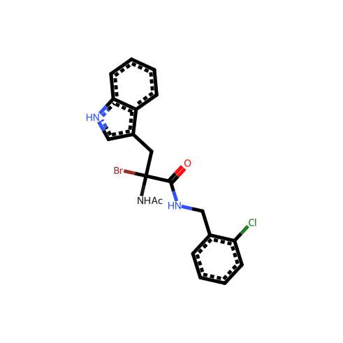 CC(=O)NC(Br)(Cc1c[nH]c2ccccc12)C(=O)NCc1ccccc1Cl